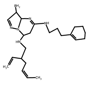 BC1C=NN2C(NCC(C=C)C/C=C\C)CC(NCCCC3=CCCCC3)=NC12